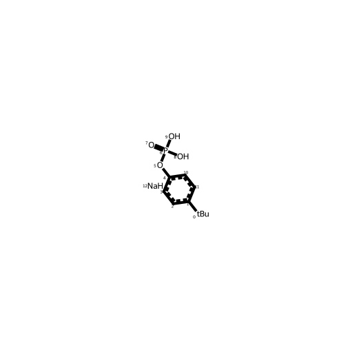 CC(C)(C)c1ccc(OP(=O)(O)O)cc1.[NaH]